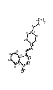 CCCN1CCN(C=CC(=O)c2ccccc2[N+](=O)[O-])CC1